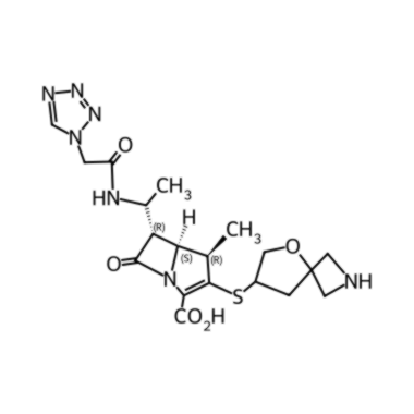 CC(NC(=O)Cn1cnnn1)[C@H]1C(=O)N2C(C(=O)O)=C(SC3COC4(CNC4)C3)[C@H](C)[C@H]12